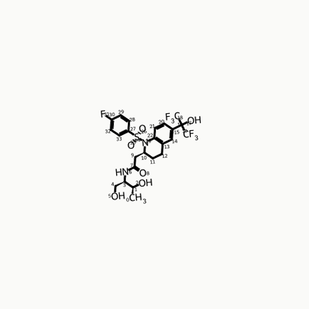 C[C@H](O)[C@@H](CO)NC(=O)C[C@@H]1CCc2cc(C(O)(C(F)(F)F)C(F)(F)F)ccc2N1S(=O)(=O)c1ccc(F)cc1